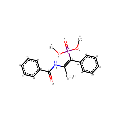 CCOP(=O)(OCC)C(=C(NC(=O)c1ccccc1)C(=O)O)c1ccccc1